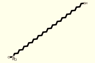 SCCCCCCCCCCCCCCCCCCCCCCCCCCCCC[SiH](Cl)Cl